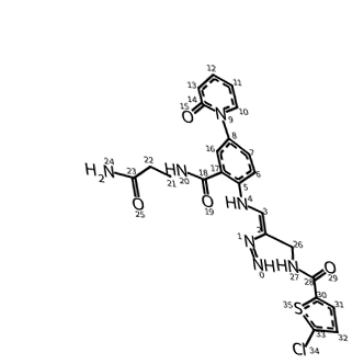 N=N/C(=C\Nc1ccc(-n2ccccc2=O)cc1C(=O)NCCC(N)=O)CNC(=O)c1ccc(Cl)s1